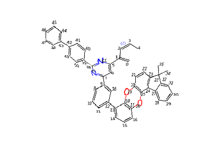 C=C(/C=C\C)c1cc(-c2cccc(-c3cccc4c3Oc3ccc5c(c3O4)-c3ccccc3C5(C)C)c2)nc(-c2ccc(-c3ccccc3)cc2)n1